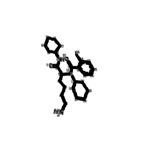 NCCCCC(C(=O)NC1CCCCC1)N(C(=O)c1ccccc1I)C1CCCCC1